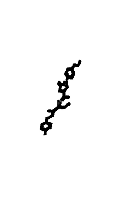 C=C1CC(/C(C)=N/C(CC)=C(\C)CCc2ccc(C)cc2)CN1c1ccc(CCC)cc1